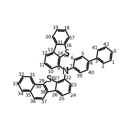 c1ccc(-c2ccc(N(c3cccc4c3sc3ccccc34)c3cccc4c3sc3c5ccccc5ccc43)cc2)cc1